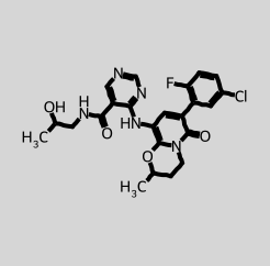 CC(O)CNC(=O)c1cncnc1Nc1cc(-c2cc(Cl)ccc2F)c(=O)n2c1OC(C)CC2